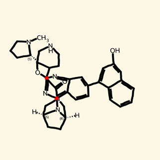 CN1CCC[C@H]1COc1nc(N2[C@@H]3CC[C@H]2CN(C(=O)CC2CCNCC2)C3)c2ccc(-c3cc(O)cc4ccccc34)cc2n1